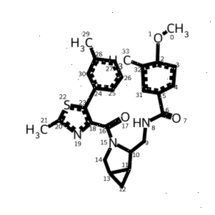 COc1ccc(C(=O)NCC2C3CC3CN2C(=O)c2nc(C)sc2-c2cccc(C)c2)cc1C